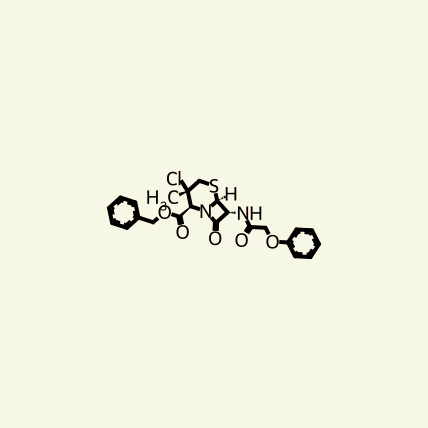 C[C@@]1(Cl)CS[C@H]2[C@H](NC(=O)COc3ccccc3)C(=O)N2[C@H]1C(=O)OCc1ccccc1